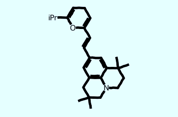 CC(C)C1=CCC=C(C=Cc2cc3c4c(c2)C(C)(C)CCN4CC(C)(C)C3)O1